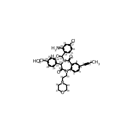 CC#Cc1ccc2c(c1)C(=O)N(C(C)c1ccc(Cl)cc1N)C(c1ccc(Cl)cc1)C(=O)N2CCN1CCOCC1.Cl